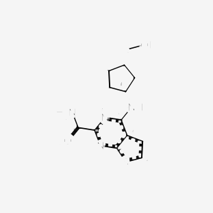 NC(=O)c1nc(N[C@@H]2CC[C@H](CO)C2)c2ccsc2n1